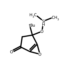 C[SiH](C)OC1(C(C)(C)C)CC(=O)C2=C1O2